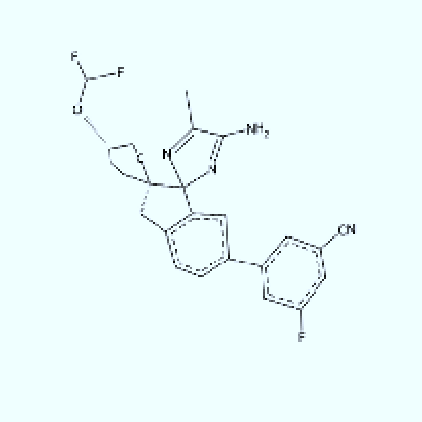 CC1=NC2(N=C1N)c1cc(-c3cc(F)cc(C#N)c3)ccc1C[C@]21CC[C@@H](OC(F)F)CC1